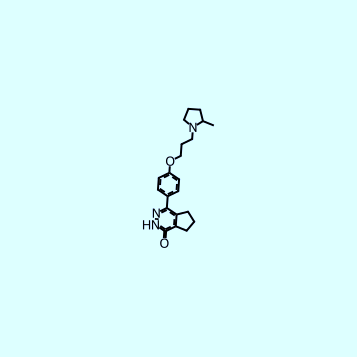 CC1CCCN1CCCOc1ccc(-c2n[nH]c(=O)c3c2CCC3)cc1